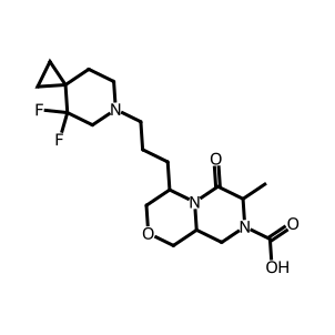 CC1C(=O)N2C(CCCN3CCC4(CC4)C(F)(F)C3)COCC2CN1C(=O)O